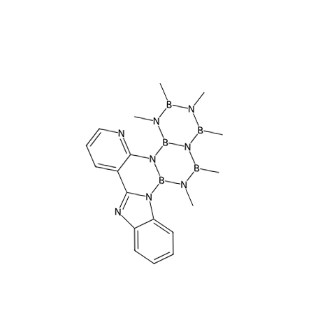 CB1N(C)B(C)N2B(C)N(C)B3N(B2N1C)c1ncccc1-c1nc2ccccc2n13